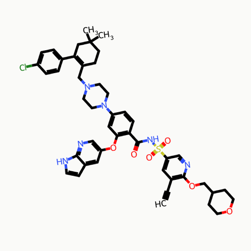 C#Cc1cc(S(=O)(=O)NC(=O)c2ccc(N3CCN(CC4=C(c5ccc(Cl)cc5)CC(C)(C)CC4)CC3)cc2Oc2cnc3[nH]ccc3c2)cnc1OCC1CCOCC1